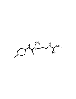 CN1CCC(NC(=O)[C@@H](N)CCCNC(=N)N)CC1